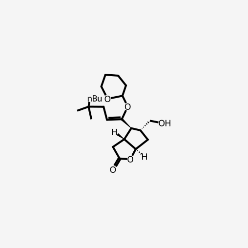 CCCCC(C)(C)CC=C(OC1CCCCO1)[C@H]1[C@H](CO)C[C@H]2OC(=O)C[C@H]12